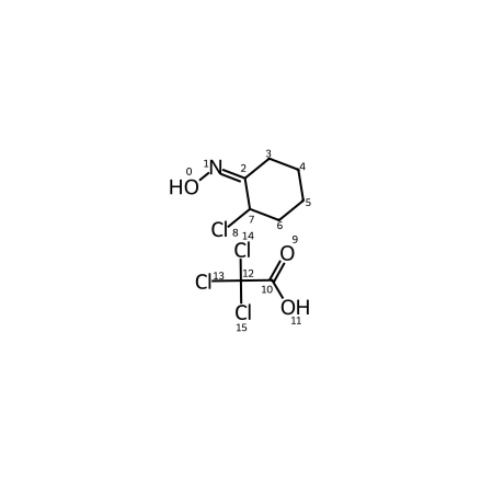 O/N=C1/CCCCC1Cl.O=C(O)C(Cl)(Cl)Cl